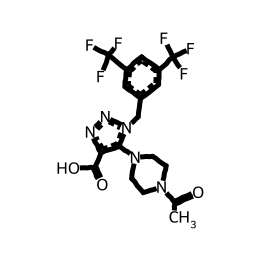 CC(=O)N1CCN(c2c(C(=O)O)nnn2Cc2cc(C(F)(F)F)cc(C(F)(F)F)c2)CC1